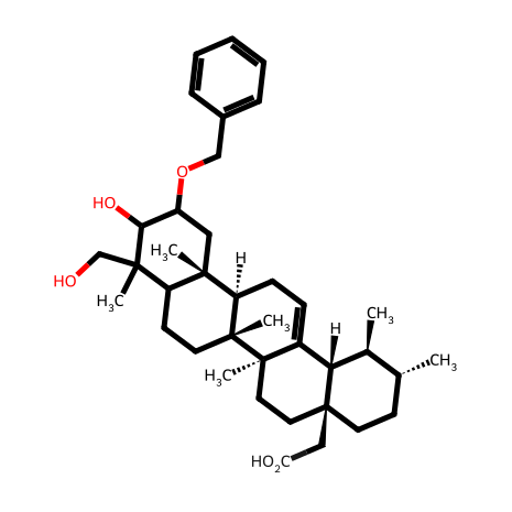 C[C@H]1[C@H](C)CC[C@]2(CC(=O)O)CC[C@]3(C)C(=CC[C@@H]4[C@@]5(C)CC(OCc6ccccc6)C(O)C(C)(CO)C5CC[C@]43C)[C@H]12